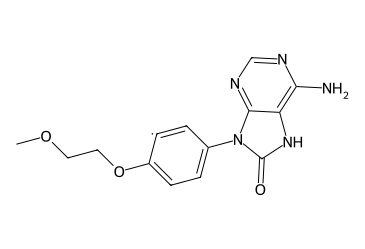 COCCOc1[c]cc(-n2c(=O)[nH]c3c(N)ncnc32)cc1